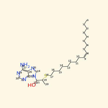 CCCCCCCC/C=C\CCCCCCCCSC(C)C(O)n1cnc2c(N)ncnc21